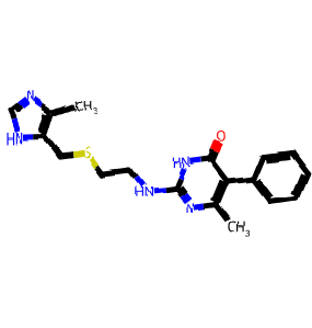 Cc1nc[nH]c1CSCCNc1nc(C)c(-c2ccccc2)c(=O)[nH]1